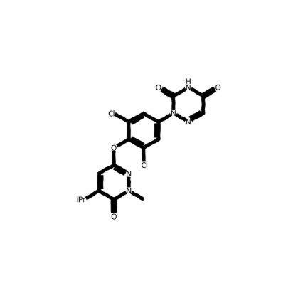 CC(C)c1cc(Oc2c(Cl)cc(-n3ncc(=O)[nH]c3=O)cc2Cl)nn(C)c1=O